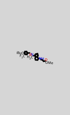 COC(=O)CCCNC1CCCc2c(/C(C)=N/OCc3ccc(OCC(C)C)c(C(F)(F)F)c3)cccc21